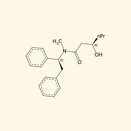 CCC[C@@H](O)CC(=O)N(C)[C@@H](Cc1ccccc1)c1ccccc1